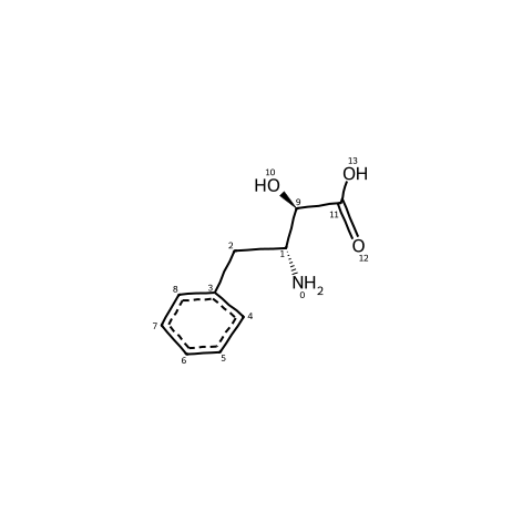 N[C@H](Cc1ccccc1)[C@@H](O)C(=O)O